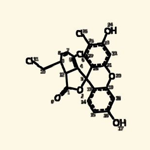 O=C1OC2(C3=C(Cl)C=CC(CCl)C13)c1ccc(O)cc1Oc1cc(O)c(Cl)cc12